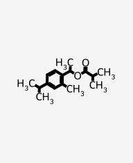 Cc1cc(C(C)C)ccc1C(C)OC(=O)C(C)C